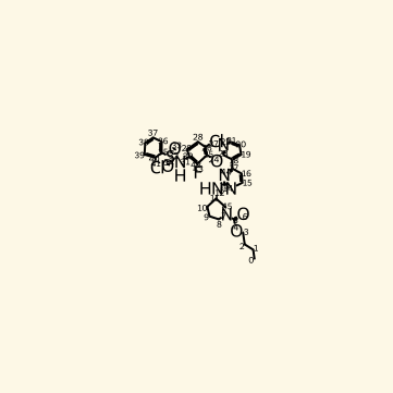 CCCCOC(=O)N1CCC[C@H](Nc2nccc(-c3cccnc3Oc3c(Cl)ccc(NS(=O)(=O)c4ccccc4Cl)c3F)n2)C1